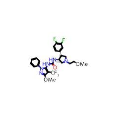 COCCN1C[C@@H](NC(=O)Nc2c(C(F)(F)F)c(OC)nn2-c2ccccc2)[C@H](c2ccc(F)c(F)c2)C1